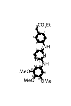 CCOC(=O)Cc1ccc(Nc2ccnc(Nc3cc(OC)c(OC)c(OC)c3)n2)cc1